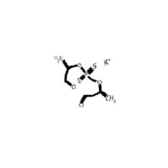 CC(CCl)OP(=S)([S-])OC(C)CCl.[K+]